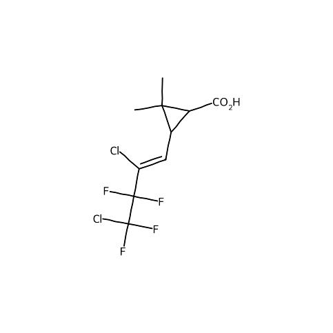 CC1(C)C(C=C(Cl)C(F)(F)C(F)(F)Cl)C1C(=O)O